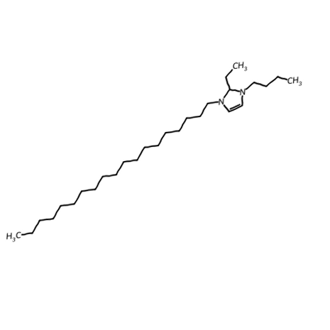 CCCCCCCCCCCCCCCCCCCN1C=CN(CCCC)C1CC